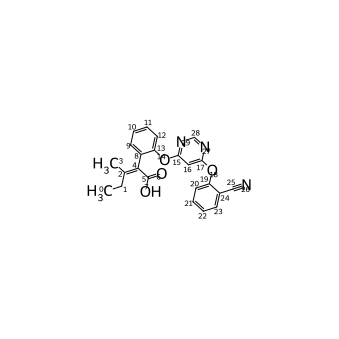 CC/C(C)=C(\C(=O)O)c1ccccc1Oc1cc(Oc2ccccc2C#N)ncn1